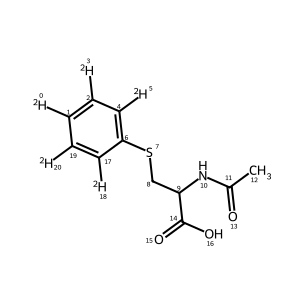 [2H]c1c([2H])c([2H])c(SCC(NC(C)=O)C(=O)O)c([2H])c1[2H]